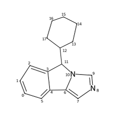 c1ccc2c(c1)-c1cncn1C2C1CCCCC1